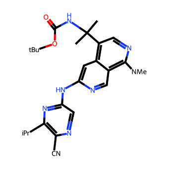 CNc1ncc(C(C)(C)NC(=O)OC(C)(C)C)c2cc(Nc3cnc(C#N)c(C(C)C)n3)ncc12